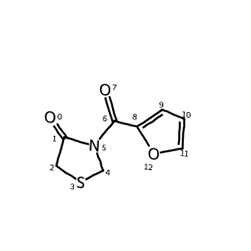 O=C1CSCN1C(=O)c1ccco1